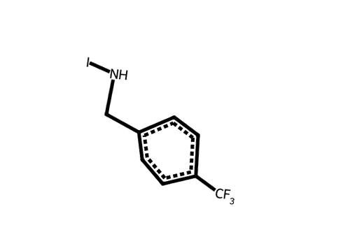 FC(F)(F)c1ccc(CNI)cc1